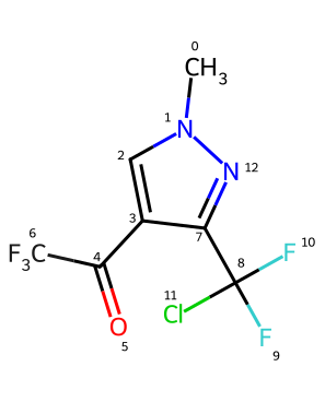 Cn1cc(C(=O)C(F)(F)F)c(C(F)(F)Cl)n1